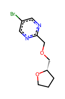 Brc1cnc(COC[C@@H]2CCCO2)nc1